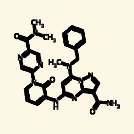 CN(C)C(=O)c1cnc(-n2cccc(Nc3cc(N(C)Cc4ccccc4)n4ncc(C(N)=O)c4n3)c2=O)cn1